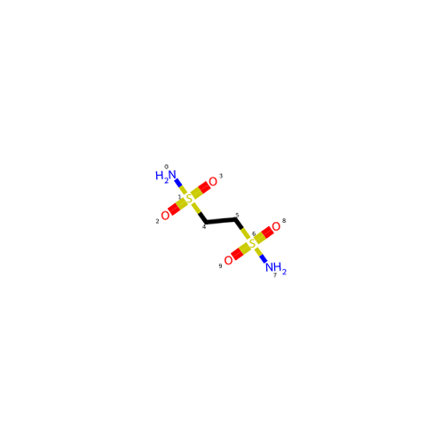 NS(=O)(=O)CCS(N)(=O)=O